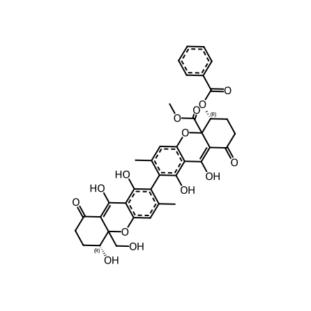 COC(=O)C12Oc3cc(C)c(-c4c(C)cc5c(c4O)C(O)=C4C(=O)CC[C@@H](O)C4(CO)O5)c(O)c3C(O)=C1C(=O)CC[C@H]2OC(=O)c1ccccc1